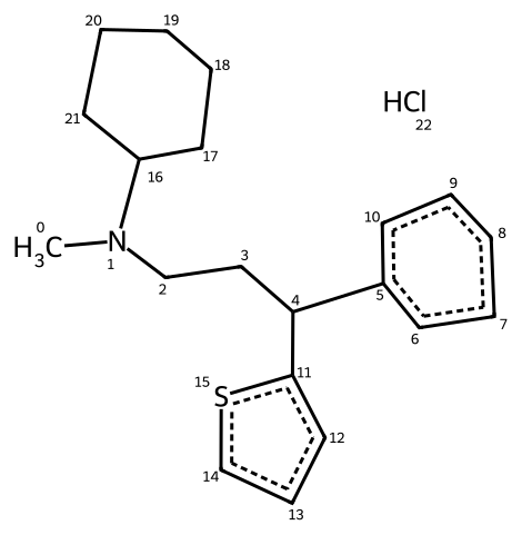 CN(CCC(c1ccccc1)c1cccs1)C1CCCCC1.Cl